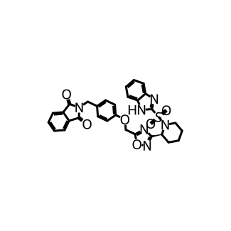 O=C1c2ccccc2C(=O)N1Cc1ccc(OCc2nc([C@@H]3CCCCN3S(=O)(=O)c3nc4ccccc4[nH]3)no2)cc1